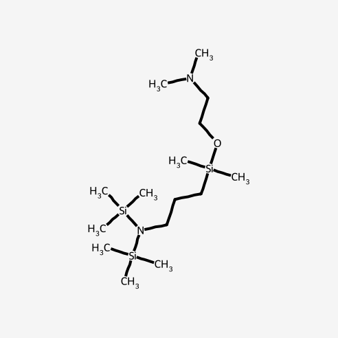 CN(C)CCO[Si](C)(C)CCCN([Si](C)(C)C)[Si](C)(C)C